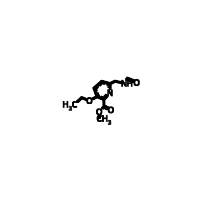 CCOc1ccc(CNC=O)nc1C(=O)OC